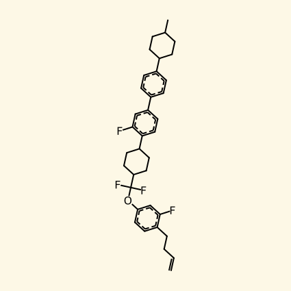 C=CCCc1ccc(OC(F)(F)C2CCC(c3ccc(-c4ccc(C5CCC(C)CC5)cc4)cc3F)CC2)cc1F